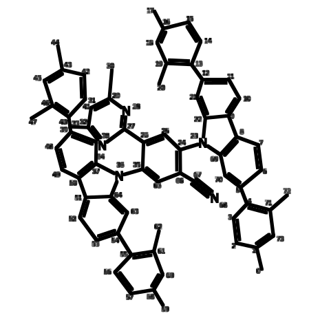 Cc1ccc(-c2ccc3c4ccc(-c5ccc(C)cc5C)cc4n(-c4cc(-c5nc(C)cc(C)n5)c(-n5c6cc(-c7ccc(C)cc7C)ccc6c6ccc(-c7ccc(C)cc7C)cc65)cc4C#N)c3c2)c(C)c1